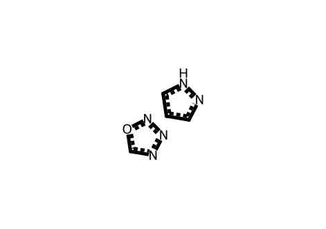 c1cn[nH]c1.c1nnno1